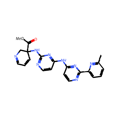 COC(=O)C1(Nc2nccc(Nc3ccnc(-c4cccc(C)n4)n3)n2)C=CC=NC1